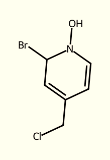 ON1C=CC(CCl)=CC1Br